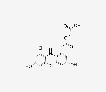 O=C(O)COC(=O)Cc1cc(O)ccc1Nc1c(Cl)cc(O)cc1Cl